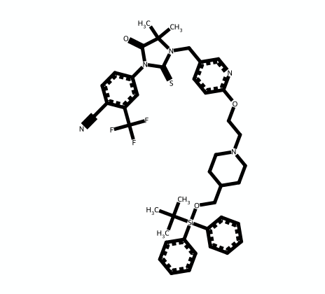 CC1(C)C(=O)N(c2ccc(C#N)c(C(F)(F)F)c2)C(=S)N1Cc1ccc(OCCN2CCC(CO[Si](c3ccccc3)(c3ccccc3)C(C)(C)C)CC2)nc1